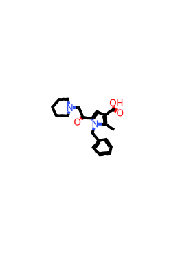 Cc1c(C(=O)O)cc(C(=O)CN2CCCCC2)n1Cc1ccccc1